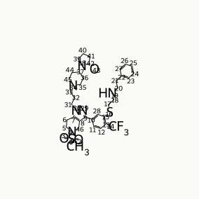 CS(=O)(=O)N1CCc2c(c(-c3ccc(C(F)(F)F)c(SCCNCCc4ccccc4)c3)nn2CCCN2CCC(N3CCCC3=O)CC2)C1